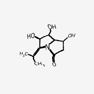 CC(C)=C1C(O)C(O)C2C(O)CC(=O)N12